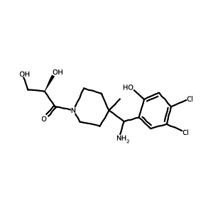 CC1(C(N)c2cc(Cl)c(Cl)cc2O)CCN(C(=O)[C@H](O)CO)CC1